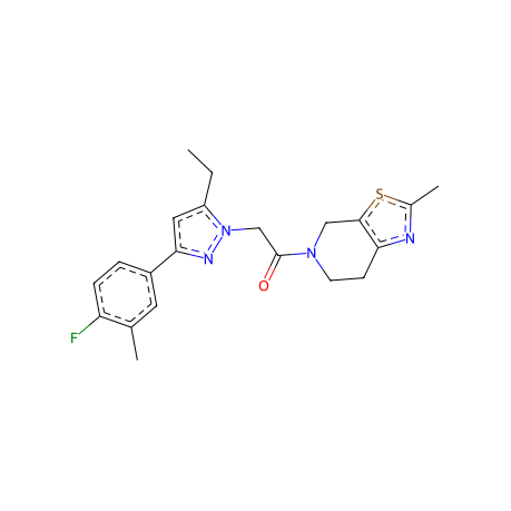 CCc1cc(-c2ccc(F)c(C)c2)nn1CC(=O)N1CCc2nc(C)sc2C1